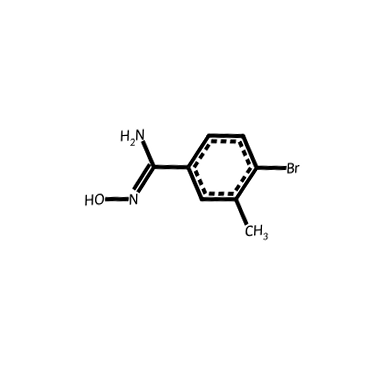 Cc1cc(C(N)=NO)ccc1Br